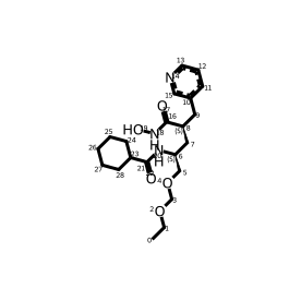 CCOCOC[C@H](C[C@H](Cc1cccnc1)C(=O)NO)NC(=O)C1CCCCC1